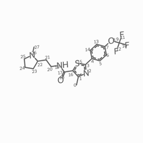 Cc1nc(-c2ccc(OC(F)(F)F)cc2)sc1C(=O)NCCC1CCCN1C